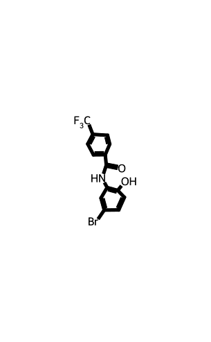 O=C(Nc1cc(Br)ccc1O)c1ccc(C(F)(F)F)cc1